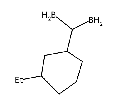 BC(B)C1CCCC(CC)C1